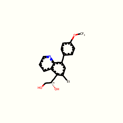 CCc1cc(-c2ccc(OC(F)(F)F)cc2)c2ncccc2c1[C@H](O)CO